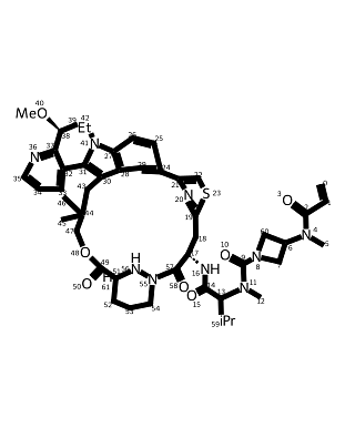 C=CC(=O)N(C)C1CN(C(=O)N(C)C(C(=O)N[C@H]2Cc3nc(cs3)-c3ccc4c(c3)c(c(-c3cccnc3[C@H](C)OC)n4CC)CC(C)(C)COC(=O)[C@@H]3CCCN(N3)C2=O)C(C)C)C1